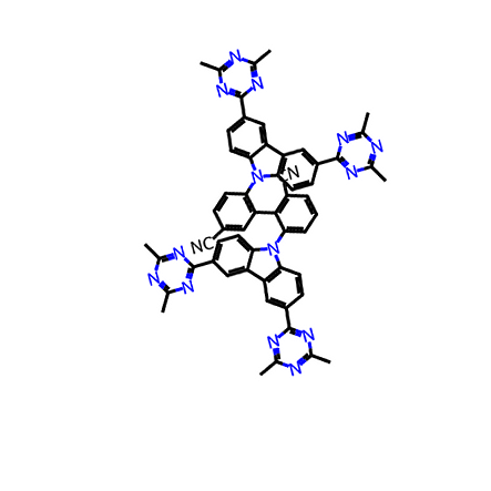 Cc1nc(C)nc(-c2ccc3c(c2)c2cc(-c4nc(C)nc(C)n4)ccc2n3-c2ccc(C#N)cc2-c2c(C#N)cccc2-n2c3ccc(-c4nc(C)nc(C)n4)cc3c3cc(-c4nc(C)nc(C)n4)ccc32)n1